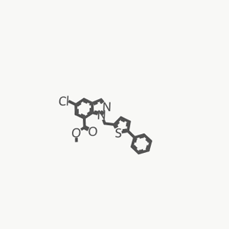 COC(=O)c1cc(Cl)cc2cnn(Cc3ccc(-c4ccccc4)s3)c12